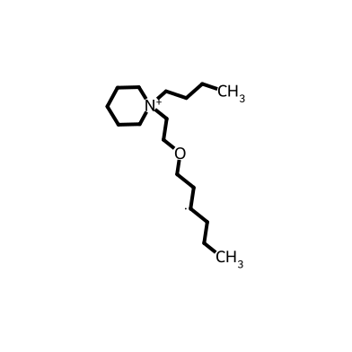 CCC[CH]CCOCC[N+]1(CCCC)CCCCC1